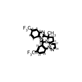 CC1(c2nc3cc(C(F)(F)F)ccc3[nH]2)CCCN1C(=O)c1cc(C(F)(F)F)ccc1-n1nccn1